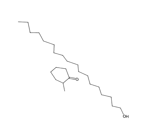 CC1CCCCC1=O.CCCCCCCCCCCCCCCCCCO